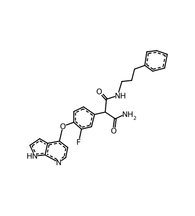 NC(=O)C(C(=O)NCCCc1ccccc1)c1ccc(Oc2ccnc3[nH]ccc23)c(F)c1